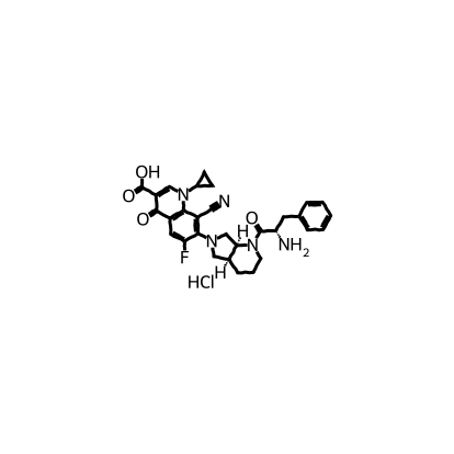 Cl.N#Cc1c(N2C[C@@H]3CCCN(C(=O)[C@@H](N)Cc4ccccc4)[C@@H]3C2)c(F)cc2c(=O)c(C(=O)O)cn(C3CC3)c12